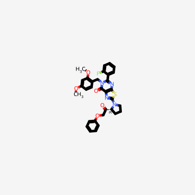 COc1ccc(Cn2c(-c3ccccc3F)nc3sc(N4CCC[C@@H]4C(=O)COc4ccccc4)nc3c2=O)c(OC)c1